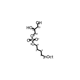 CCCCCCCCCCCCOS(=O)(=O)OCC(O)CO